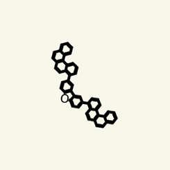 c1ccc2c(c1)ccc1ccc3c(-c4ccc5oc6ccc(-c7cccc8c7ccc7ccc9ccccc9c78)cc6c5c4)cccc3c12